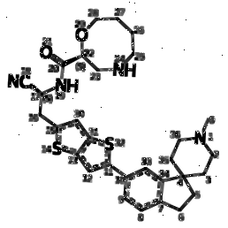 CN1CCC2(CCc3ccc(-c4cc5sc(C[C@@H](C#N)NC(=O)[C@@H]6CNCCCCO6)cc5s4)cc32)CC1